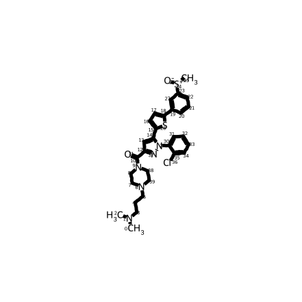 CN(C)CCCN1CCN(C(=O)c2cc(-c3ccc(-c4cccc([S+](C)[O-])c4)s3)n(-c3ccccc3Cl)n2)CC1